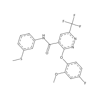 COc1cc(F)ccc1Oc1nnc(C(F)(F)F)cc1C(=O)Nc1cccc(SC)c1